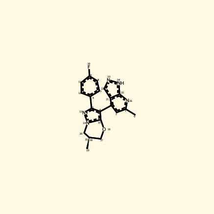 Cc1cc(-c2c(-c3ccc(F)cc3)nn3c2OC[C@@H](C)C3)c2cn[nH]c2n1